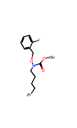 CC(C)CCCCN(OCc1ccccc1F)C(=O)OC(C)(C)C